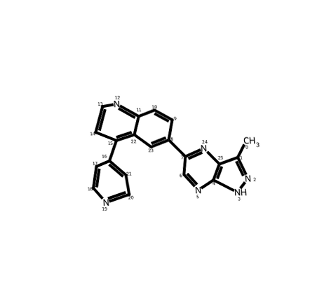 Cc1n[nH]c2ncc(-c3ccc4nccc(-c5ccncc5)c4c3)nc12